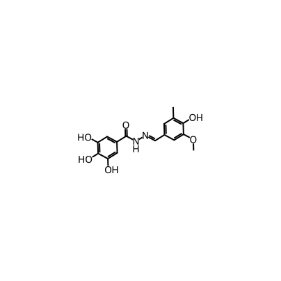 COc1cc(/C=N/NC(=O)c2cc(O)c(O)c(O)c2)cc(C)c1O